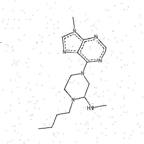 CCCCN1CCN(c2ncnc3c2ncn3C)CC1NC